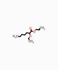 C=CCOC(=O)C(CCCCC)OCC